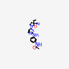 CCC1(C#N)CCN(c2ccnc(Nc3cccc(NC(C)=O)c3)n2)C1=O